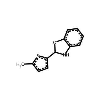 Cc1ccc(C2Nc3ccccc3O2)s1